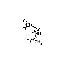 CN(C)CCNC(=O)N(C)CCOc1cc(Cl)cc(Cl)c1